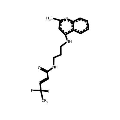 Cc1cc(NCCCNC(=O)C=CC(F)(F)C(F)(F)F)c2ccccc2n1